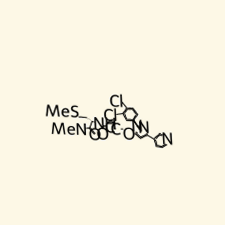 CNC(=O)[C@H](CCSC)NC(=O)CCCOc1cc(-c2cccnc2)nn1-c1ccc(Cl)c(Cl)c1